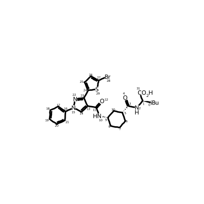 CCC(C)[C@@H](NC(=O)[C@@H]1CCC[C@H](NC(=O)c2cn(-c3ccccc3)nc2-c2ccc(Br)s2)C1)C(=O)O